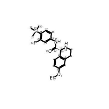 CCOc1ccc2c(c1)CCN[C@H]2C(=O)Nc1ccc([Si](C)(C)C)c(F)c1